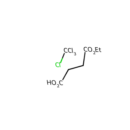 CCOC(=O)CCC(=O)O.ClC(Cl)(Cl)Cl